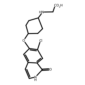 O=C(O)CNC1CCC(Oc2cc3cc[nH]c(=O)c3cc2Cl)CC1